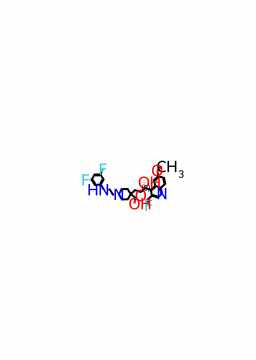 COc1ccc2ncc(CF)c([C@@H](O)CCC3(C(=O)O)CCN(CCNc4cc(F)cc(F)c4)CC3)c2c1